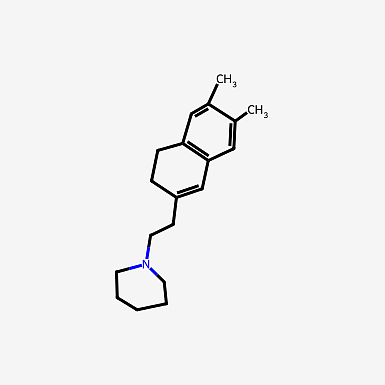 Cc1cc2c(cc1C)CCC(CCN1CCCCC1)=C2